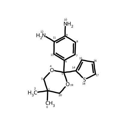 CC1(C)COC(c2ccc(N)c(N)c2)(c2cccs2)OC1